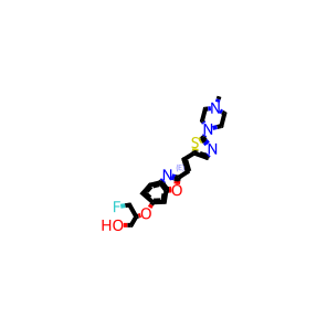 CN1CCN(c2ncc(/C=C/c3nc4ccc(OC(CO)CF)cc4o3)s2)CC1